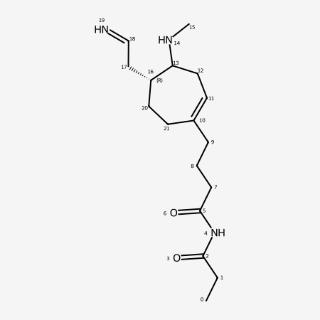 CCC(=O)NC(=O)CCCC1=CCC(NC)[C@@H](CC=N)CC1